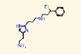 CCC(CCNCCCc1nc(CCN)c[nH]1)c1ccccc1